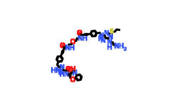 CCCSc1nc(NCCN)c2nnn(Cc3ccc(C#CC(=O)NCCOCCNC(=O)C#Cc4ccc(Cc5nc(C(O)N[C@H]6COc7ccccc7N(C)C6=O)n[nH]5)cc4)cc3)c2n1